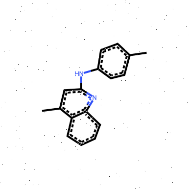 Cc1ccc(Nc2cc(C)c3ccccc3n2)cc1